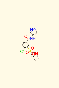 CC1(O)C2CCC1CC(S(=O)(=O)c1cc(C(=O)Nc3ccnnc3)ccc1Cl)C2